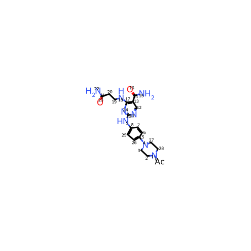 CC(=O)N1CCN(c2ccc(Nc3ncc(C(N)=O)c(NCCC(N)=O)n3)cc2)CC1